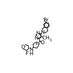 Cc1c(C(=O)N2CCC(N[C@H]3CCOC[C@H]3F)CC2)ncnc1N1CCc2ccc(Br)cc2C1